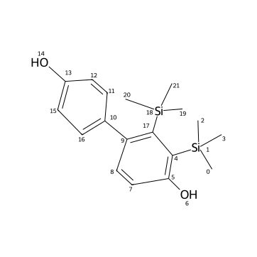 C[Si](C)(C)c1c(O)ccc(-c2ccc(O)cc2)c1[Si](C)(C)C